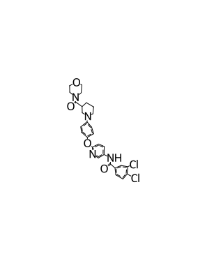 O=C(Nc1ccc(Oc2ccc(N3CCCC(C(=O)N4CCOCC4)C3)cc2)nc1)c1ccc(Cl)c(Cl)c1